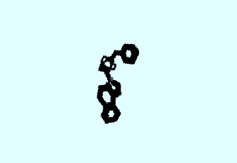 C1=C(n2ccc3c2CCc2ccccc2-3)OC(Cc2ccccc2)O1